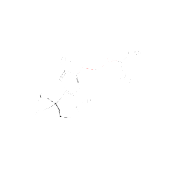 COC(C)OCOc1cc2c(cc1C=O)C(C)(C)CCC2(C)C